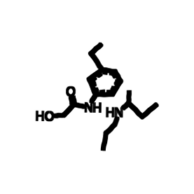 CCCNC(C)CC.CCc1cccc(NC(=O)CO)c1